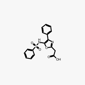 O=C(O)Cc1nc(-c2ccccc2)c(NS(=O)(=O)c2ccccc2)o1